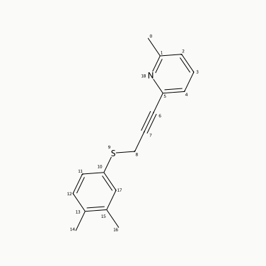 Cc1cccc(C#CCSc2ccc(C)c(C)c2)n1